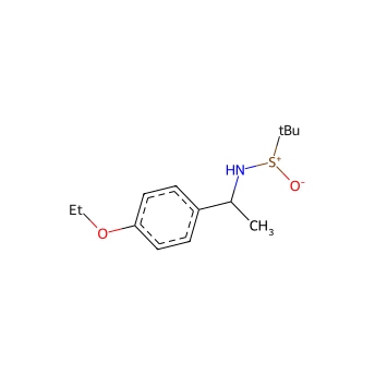 CCOc1ccc(C(C)N[S+]([O-])C(C)(C)C)cc1